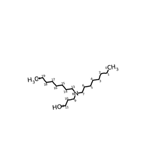 CCCCCCCCN(CCCO)CCCCCCCC